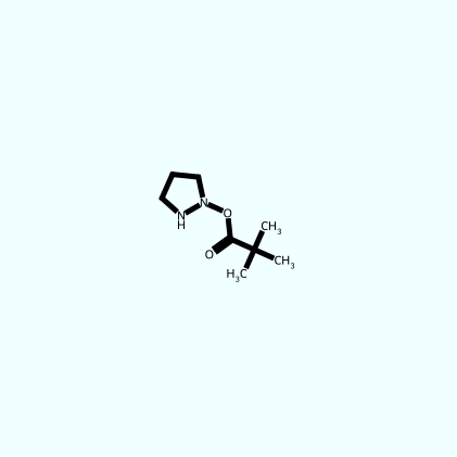 CC(C)(C)C(=O)ON1CCCN1